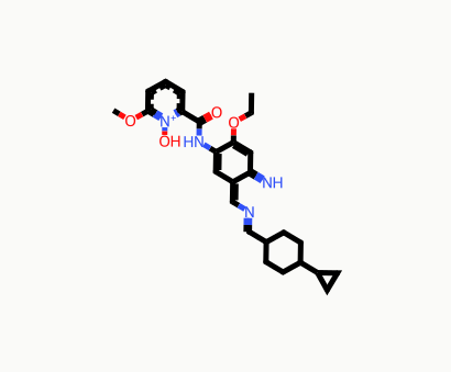 CCOC1=CC(=N)/C(=C\N=C\C2CCC(C3CC3)CC2)C=C1NC(=O)c1cccc(OC)[n+]1O